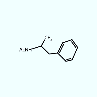 CC(=O)NC(Cc1ccccc1)C(F)(F)F